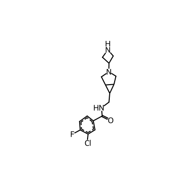 O=C(NCC1C2CN(C3CNC3)CC12)c1ccc(F)c(Cl)c1